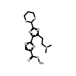 CN(C)CCc1oc(C2SCCCS2)nc1-c1nc(C(=O)OC(C)(C)C)co1